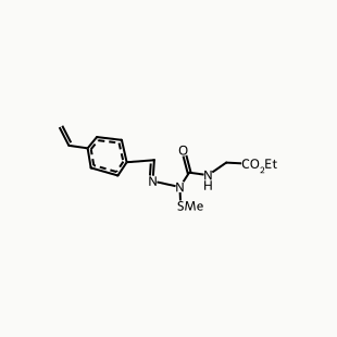 C=Cc1ccc(/C=N/N(SC)C(=O)NCC(=O)OCC)cc1